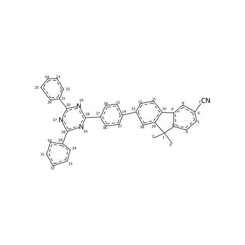 CC1(C)c2ccc(C#N)cc2-c2ccc(-c3ccc(-c4nc(-c5ccccc5)nc(-c5ccccc5)n4)cc3)cc21